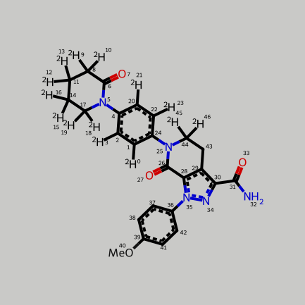 [2H]c1c([2H])c(N2C(=O)C([2H])([2H])C([2H])([2H])C([2H])([2H])C2([2H])[2H])c([2H])c([2H])c1N1C(=O)c2c(c(C(N)=O)nn2-c2ccc(OC)cc2)CC1([2H])[2H]